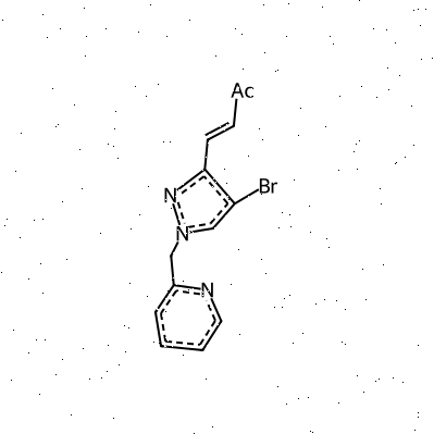 CC(=O)/C=C/c1nn(Cc2ccccn2)cc1Br